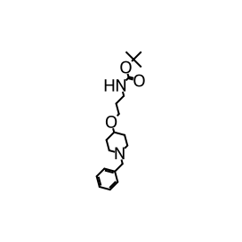 CC(C)(C)OC(=O)NCCCOC1CCN(Cc2ccccc2)CC1